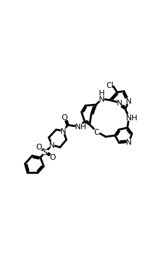 O=C(Nc1ccc2cc1CCc1cncc(c1)Nc1ncc(Cl)c(n1)N2)N1CCN(S(=O)(=O)c2ccccc2)CC1